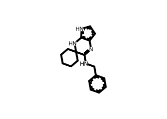 c1ccc(CNC2=Nc3cc[nH]c3NC23CCCCC3)cc1